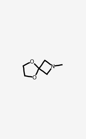 CN1CC2(C1)OCCO2